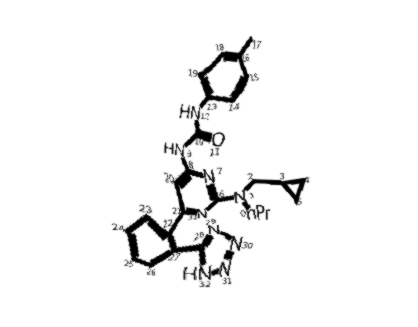 CCCN(CC1CC1)c1nc(NC(=O)Nc2ccc(C)cc2)cc(-c2ccccc2-c2nnn[nH]2)n1